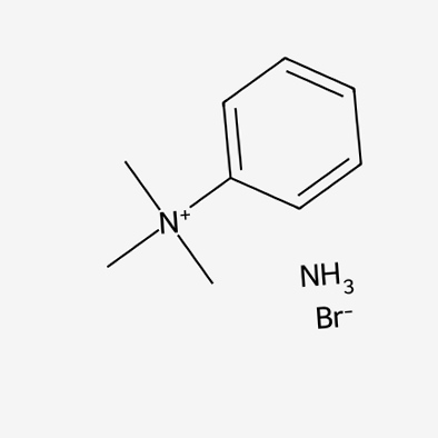 C[N+](C)(C)c1ccccc1.N.[Br-]